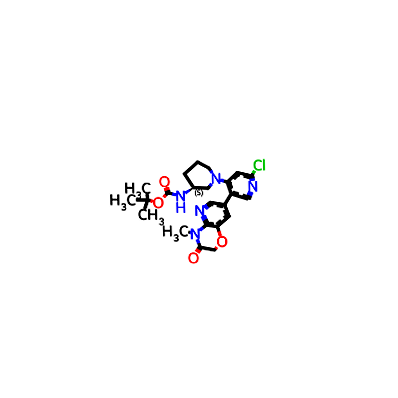 CN1C(=O)COc2cc(-c3cnc(Cl)cc3N3CCC[C@H](NC(=O)OC(C)(C)C)C3)cnc21